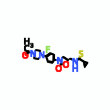 CC(=O)N1CCN(c2ccc(N3C[C@H](CNC(=S)C4CC4)OC3=O)cc2F)CC1